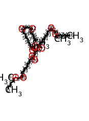 CCCCCC(C)OCC1OC1CCCCCCCC(=O)OCC(COC(=O)CCCCCCCC1OC1COC(C)CCCCC)OC(=O)CCCCCCCC1OC1CC1OC1CCCCC